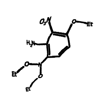 CCOc1ccc(N(OCC)OCC)c(N)c1[N+](=O)[O-]